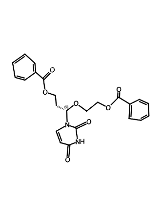 O=C(OCCO[C@@H](CCOC(=O)c1ccccc1)n1ccc(=O)[nH]c1=O)c1ccccc1